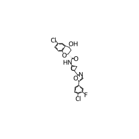 O=C(NC12CC(c3ncc(-c4ccc(Cl)c(F)c4)o3)(C1)C2)[C@H]1C[C@@H](O)c2cc(Cl)ccc2O1